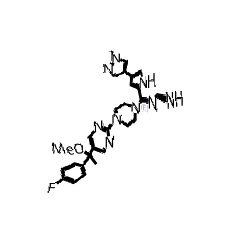 COC(C)(c1ccc(F)cc1)c1cnc(N2CCN(/C(=N/C=N)c3cc(-c4cnn(C)c4)c[nH]3)CC2)nc1